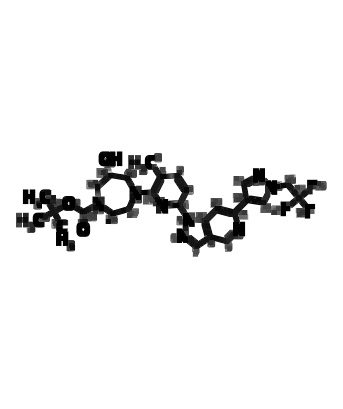 Cc1ccc(-n2ncc3cnc(-c4cnn(CC(F)(F)F)c4)cc32)nc1N1CCN(C(=O)OC(C)(C)C)C[C@H](O)C1